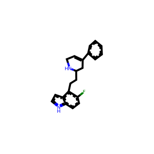 Fc1ccc2[nH]ccc2c1CCC1CC(c2ccccc2)=CCN1